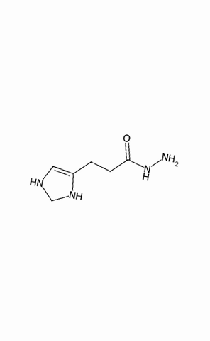 NNC(=O)CCC1=CNCN1